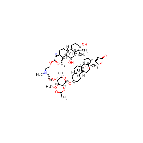 CO[C@@H]1[C@@H](O)[C@H](C)O[C@@H](O[C@H]2CC[C@@]3(C)[C@H](CC[C@@H]4[C@@H]3CC[C@]3(C)[C@@H](C5=CC(=O)OC5)CC[C@]43O)C2)[C@H]1OC(C)=O.C[C@H]1/C(=C\C(=O)OCCN(C)C)CC[C@H]2[C@H]1[C@@H](O)C[C@H]1C(C)(C)[C@@H](O)CC[C@]21C